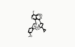 COc1ccc(CNc2ncc(F)c3[nH]nc(-c4cc(C5CC5)on4)c23)c(OC)c1